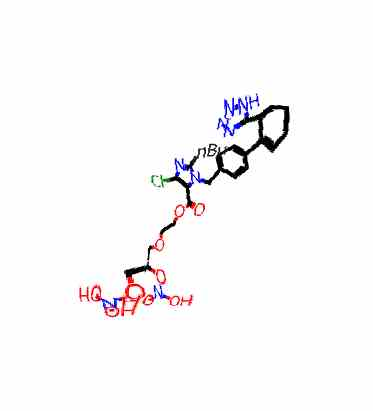 CCCCc1nc(Cl)c(C(=O)OCCOC[C@H](CON(O)O)ON(O)O)n1Cc1ccc(-c2ccccc2-c2nnn[nH]2)cc1